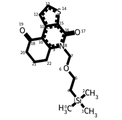 C[Si](C)(C)CCOCn1c2c(c3ccsc3c1=O)C(=O)CCC2